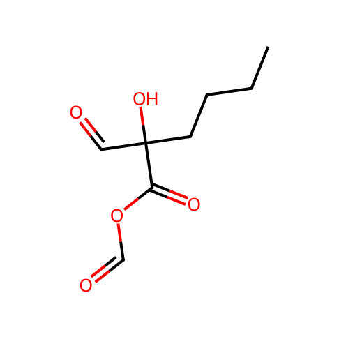 CCCCC(O)(C=O)C(=O)OC=O